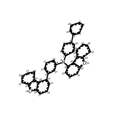 c1ccc(-c2ccc(N(c3cccc(-c4cccc5oc6ccccc6c45)c3)c3cccc4oc5ccccc5c34)cc2)cc1